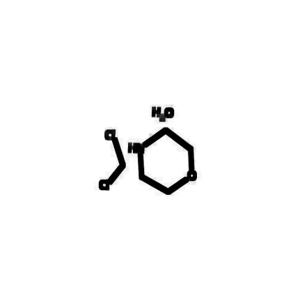 C1COCCN1.ClCCl.O